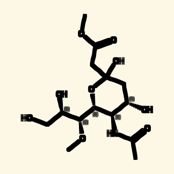 COC(=O)CC1(O)C[C@H](O)[C@@H](NC(C)=O)[C@H]([C@H](OC)[C@H](O)CO)O1